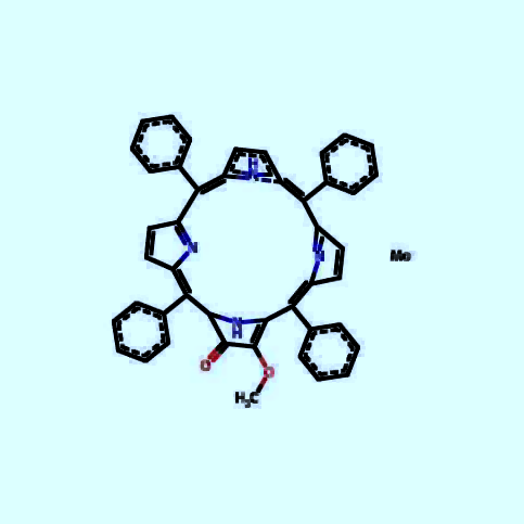 COC1=C2NC(C1=O)C(c1ccccc1)=C1C=CC(=N1)C(c1ccccc1)=c1ccc([nH]1)=C(c1ccccc1)C1=NC(=C2c2ccccc2)C=C1.[Mo]